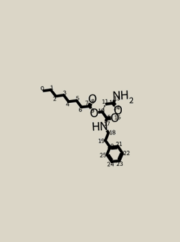 CCCCCCCC(=O)O[C@H](CC(N)=O)C(=O)NCCc1ccccc1